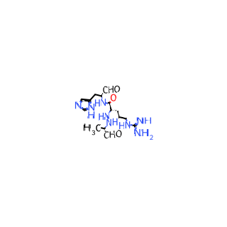 C[C@@H](C=O)NN[C@@H](CCCNC(=N)N)C(=O)N[C@H](C=O)Cc1cnc[nH]1